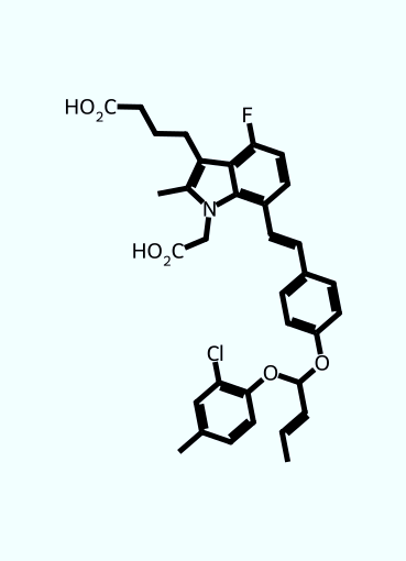 CC=CC(Oc1ccc(C=Cc2ccc(F)c3c(CCCC(=O)O)c(C)n(CC(=O)O)c23)cc1)Oc1ccc(C)cc1Cl